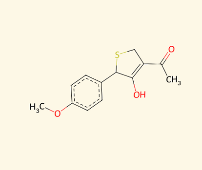 COc1ccc(C2SCC(C(C)=O)=C2O)cc1